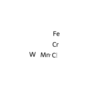 [C].[Cr].[Fe].[Mn].[W]